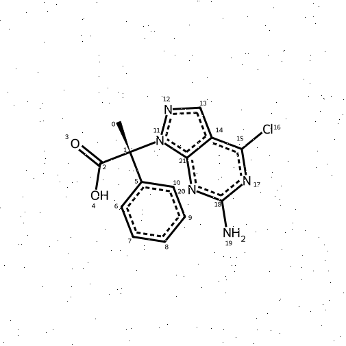 C[C@](C(=O)O)(c1ccccc1)n1ncc2c(Cl)nc(N)nc21